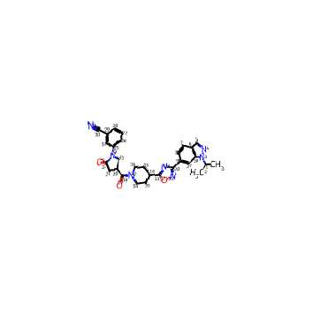 CC(C)n1ncc2ccc(-c3noc(C4CCN(C(=O)C5CC(=O)N(c6cccc(C#N)c6)C5)CC4)n3)cc21